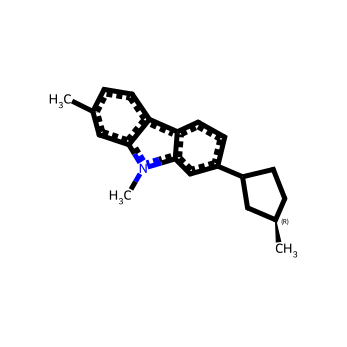 Cc1ccc2c3ccc(C4CC[C@@H](C)C4)cc3n(C)c2c1